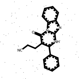 N#CCCc1c(-c2ccccc2)[nH]c2nc3ccccc3n2c1=O